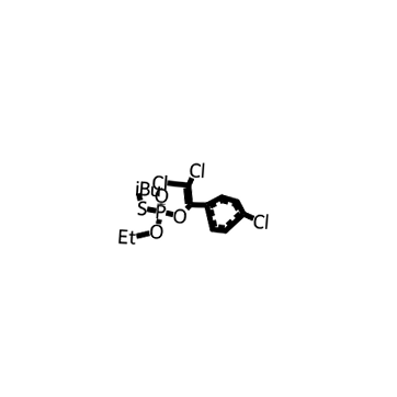 CCOP(=O)(OC(=C(Cl)Cl)c1ccc(Cl)cc1)SC(C)CC